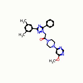 COc1cc(N2CCN(C(=O)Cn3nc(-c4cc(C)cc(C)c4)nc3-c3ccccc3)CC2)ncn1